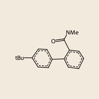 CNC(=O)c1ccccc1-c1ccc(C(C)(C)C)cc1